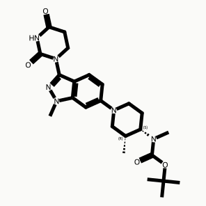 C[C@@H]1CN(c2ccc3c(N4CCC(=O)NC4=O)nn(C)c3c2)CC[C@@H]1N(C)C(=O)OC(C)(C)C